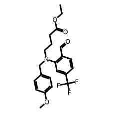 CCOC(=O)CCCN(Cc1ccc(OC)cc1)c1cc(C(F)(F)F)ccc1C=O